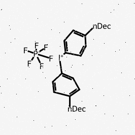 CCCCCCCCCCc1ccc([I+]c2ccc(CCCCCCCCCC)cc2)cc1.F[P-](F)(F)(F)(F)F